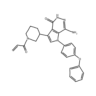 C=CC(=O)N1CCCC(c2cn(-c3ccc(Oc4ccccc4)cc3)c3c(N)n[nH]c(=O)c23)C1